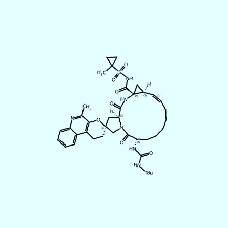 Cc1nc2ccccc2c2c1O[C@@]1(CC2)C[C@H]2C(=O)N[C@]3(C(=O)NS(=O)(=O)C4(C)CC4)C[C@H]3/C=C\CCCCC[C@H](NC(=O)NC(C)(C)C)C(=O)N2C1